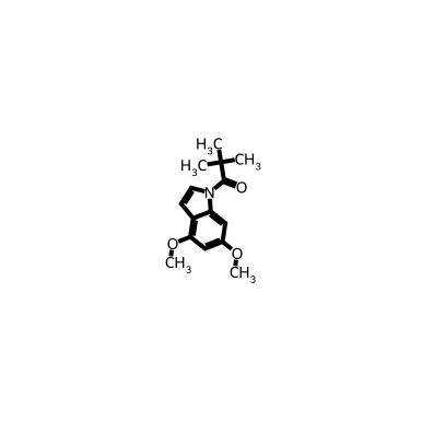 COc1cc(OC)c2ccn(C(=O)C(C)(C)C)c2c1